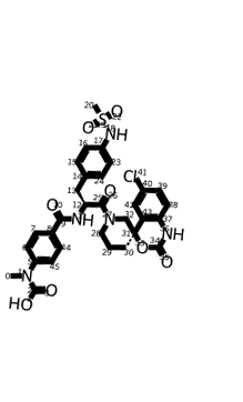 CN(C(=O)O)c1ccc(C(=O)N[C@@H](Cc2ccc(NS(C)(=O)=O)cc2)C(=O)N2CCC[C@@]3(C2)OC(=O)Nc2ccc(Cl)cc23)cc1